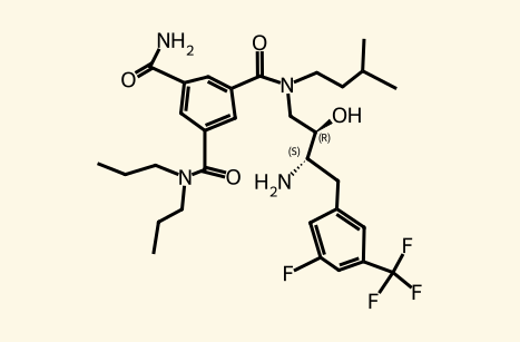 CCCN(CCC)C(=O)c1cc(C(N)=O)cc(C(=O)N(CCC(C)C)C[C@@H](O)[C@@H](N)Cc2cc(F)cc(C(F)(F)F)c2)c1